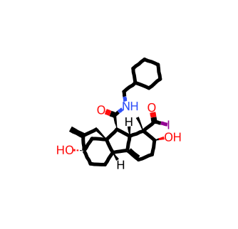 C=C1C[C@]23C[C@@]1(O)CC[C@H]2C1=CC[C@H](O)[C@@](C)(C(=O)I)[C@H]1[C@@H]3C(=O)NCC1CCCCC1